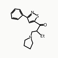 CCC(CN1CCCC1)C(=O)c1cc(-c2ccccc2)ns1